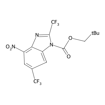 CC(C)(C)COC(=O)n1c(C(F)(F)F)nc2c([N+](=O)[O-])cc(C(F)(F)F)cc21